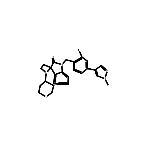 Cn1cc(-c2ccc(CN3C(=O)C4(CCN4C4CCSCC4)c4ccccc43)c(F)c2)cn1